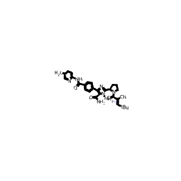 Cc1ccc(NC(=O)c2ccc(-c3nc(C4CCCN4C(=O)/C(C#N)=C/C(C)(C)C)n(N)c3C(N)=O)cc2)nc1